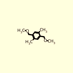 COCc1cc(C)c(COC)cc1C